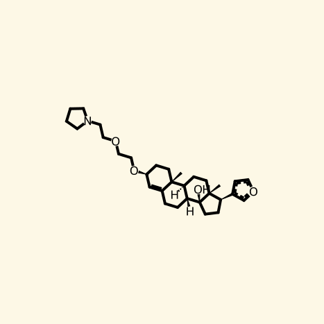 C[C@]12CC[C@H](OCCOCCN3CCCC3)C=C1CC[C@@H]1[C@@H]2CC[C@]2(C)[C@@H](c3ccoc3)CC[C@]12O